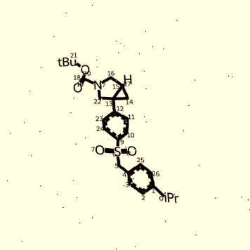 CC(C)c1ccc(CS(=O)(=O)c2ccc(C34C[C@@H]3CN(C(=O)OC(C)(C)C)C4)cc2)cc1